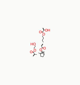 C=C(C)C(=O)OCCO.C=C(O)C(=O)OCCCC.C=CC(=O)OC1CC2CCC1(C)C2(C)C